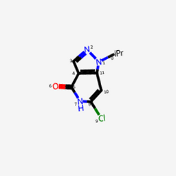 CC(C)n1ncc2c(=O)[nH]c(Cl)cc21